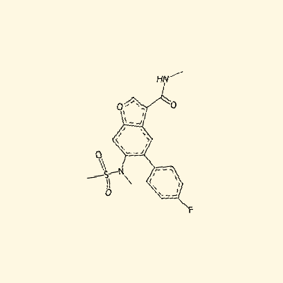 CNC(=O)c1coc2cc(N(C)S(C)(=O)=O)c(-c3ccc(F)cc3)cc12